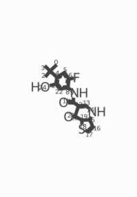 CC(C)(C)c1cc(F)c(NC(=O)C2=CNC3C=CSC3C2=O)cc1O